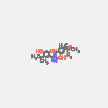 COC(C)(C)c1ccc(Cn2c(O)nnc2-c2cc(C(C)C)c(O)cc2O)cc1